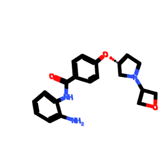 Nc1ccccc1NC(=O)c1ccc(O[C@@H]2CCN(C3COC3)C2)cc1